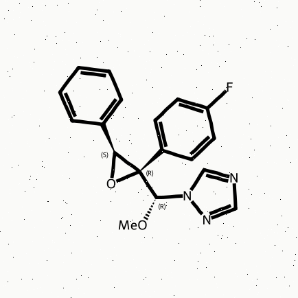 CO[C@@H](n1cncn1)[C@]1(c2ccc(F)cc2)O[C@H]1c1ccccc1